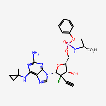 C#C[C@@]1(F)[C@H](O)[C@@H](COP(=O)(N[C@@H](C)C(=O)O)Oc2ccccc2)O[C@H]1n1cnc2c(NC3(C)CC3)nc(N)nc21